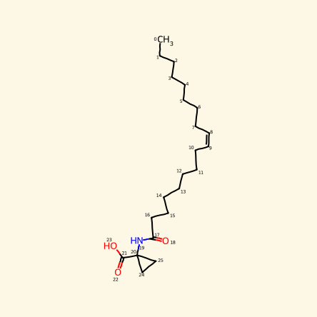 CCCCCCCC/C=C\CCCCCCCC(=O)NC1(C(=O)O)CC1